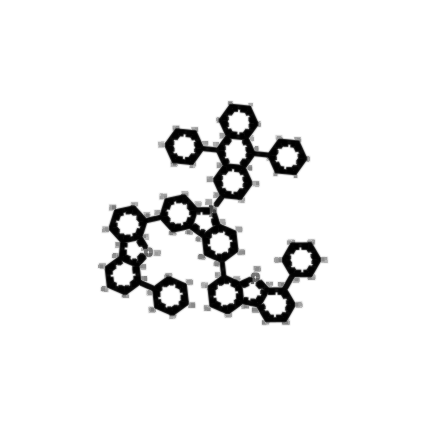 c1ccc(-c2c3ccccc3c(-c3ccccc3)c3cc(-n4c5ccc(-c6cccc7c6oc6c(-c8ccccc8)cccc67)cc5c5cc(-c6cccc7c6oc6c(-c8ccccc8)cccc67)ccc54)ccc23)cc1